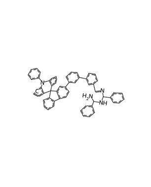 NC(NC(/N=C/c1cccc(-c2cccc(-c3ccc4c(c3)C3(c5ccccc5-4)c4ccccc4N(c4ccccc4)c4ccccc43)c2)c1)c1ccccc1)c1ccccc1